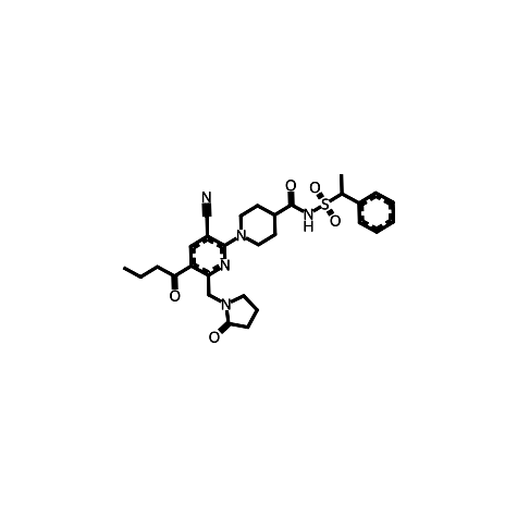 CCCC(=O)c1cc(C#N)c(N2CCC(C(=O)NS(=O)(=O)C(C)c3ccccc3)CC2)nc1CN1CCCC1=O